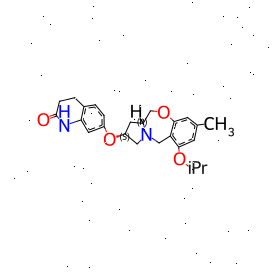 Cc1cc2c(c(OC(C)C)c1)CN1C[C@@H](Oc3ccc4c(c3)NC(=O)CC4)C[C@@H]1CO2